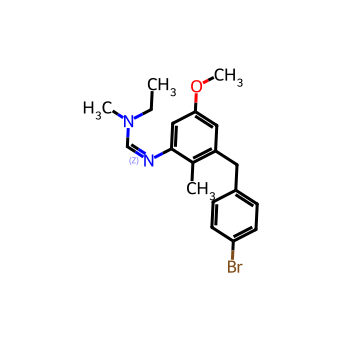 CCN(C)/C=N\c1cc(OC)cc(Cc2ccc(Br)cc2)c1C